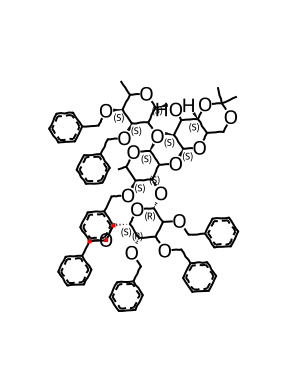 CC1O[C@@H](OC2[C@H](C)OC(C)[C@H](OCc3ccccc3)[C@@H]2OCc2ccccc2)C(O[C@@H]2OC3COC(C)(C)O[C@H]3C(O)[C@@H]2C)[C@@H](O[C@H]2O[C@@H](COCc3ccccc3)[C@@H](OCc3ccccc3)C(OCc3ccccc3)C2OCc2ccccc2)[C@H]1OCc1ccccc1